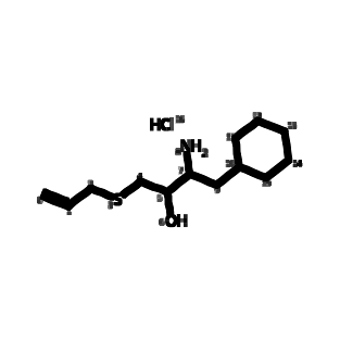 C=CCSCC(O)C(N)CC1CCCCC1.Cl